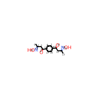 CC(CC(=O)c1ccc(C(=O)CC(C)=NO)cc1)=NO